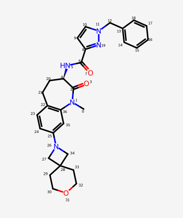 CN1C(=O)[C@H](NC(=O)c2ccn(Cc3ccccc3)n2)CCc2ccc(N3CC4(CCOCC4)C3)cc21